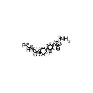 NC[C@H]1CN(c2ccc(N3CCON(C(=O)CNCCCF)CC3)c(F)c2)C(=O)O1